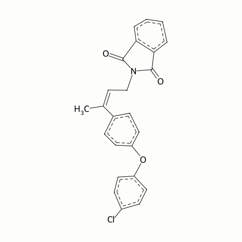 CC(=CCN1C(=O)c2ccccc2C1=O)c1ccc(Oc2ccc(Cl)cc2)cc1